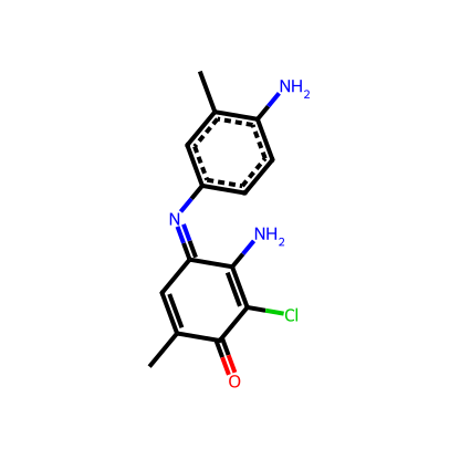 CC1=C/C(=N/c2ccc(N)c(C)c2)C(N)=C(Cl)C1=O